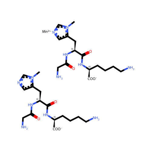 Cn1cncc1C[C@H](NC(=O)CN)C(=O)N[C@@H](CCCCN)C(=O)[O-].Cn1cncc1C[C@H](NC(=O)CN)C(=O)N[C@@H](CCCCN)C(=O)[O-].[Mn+2]